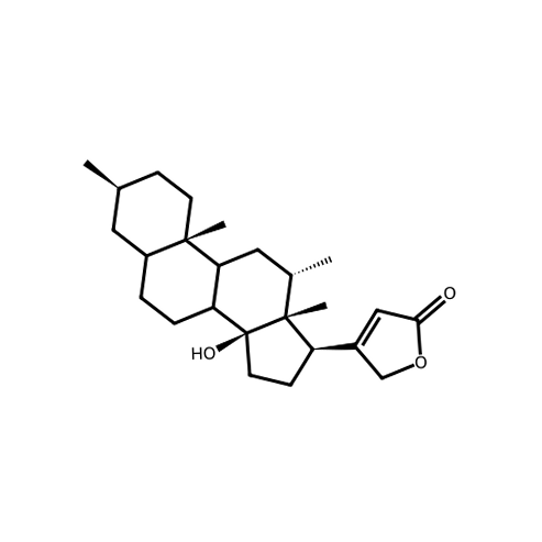 C[C@H]1CC[C@@]2(C)C(CCC3C2C[C@H](C)[C@]2(C)[C@@H](C4=CC(=O)OC4)CC[C@]32O)C1